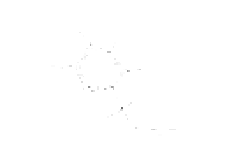 CCC(CC)(O[SiH3])c1cc(F)c(F)c(F)c1F